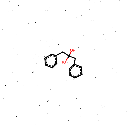 OC(O)(Cc1ccccc1)Cc1ccccc1